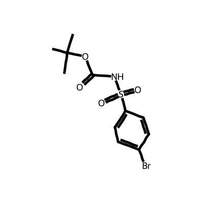 CC(C)(C)OC(=O)NS(=O)(=O)c1ccc(Br)cc1